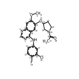 COc1cc2ncnc(Nc3ccc(F)c(Cl)c3)c2cc1OC1CCN(C(C)=O)C1